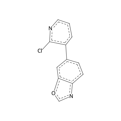 Clc1ncccc1-c1ccc2ncoc2c1